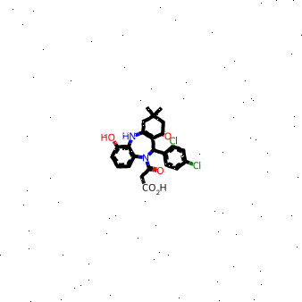 CC1(C)CC(=O)C2=C(C1)Nc1c(O)cccc1N(C(=O)CC(=O)O)C2c1ccc(Cl)cc1Cl